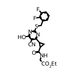 CCOC(=O)CNC(=O)C1CC1c1nc(SCc2cccc(F)c2F)nc(O)c1C#N